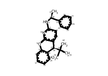 C[C@H](Nc1ccc2c(n1)Oc1ccccc1[C@@H]2C(C)(C)C(=O)O)c1ccccc1